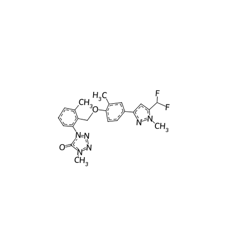 Cc1cc(-c2cc(C(F)F)n(C)n2)ccc1OCc1c(C)cccc1-n1nnn(C)c1=O